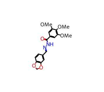 COc1cc(C(=O)N/N=C/c2ccc3c(c2)OCO3)cc(OC)c1OC